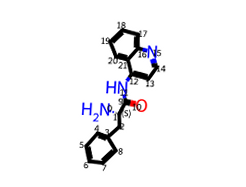 N[C@@H](Cc1ccccc1)C(=O)Nc1ccnc2ccccc12